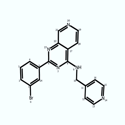 Brc1cccc(-c2nc(NCc3ccncc3)c3ccncc3n2)c1